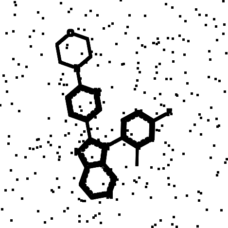 Cc1cc(F)ccc1-n1c(-c2ccc(N3CCOCC3)nc2)nc2ccncc21